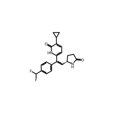 O=C1CC[C@H](C=C(c2ccc(C(F)F)cc2)c2ccc(C3CC3)c(=O)[nH]2)N1